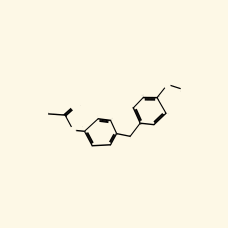 COc1ccc(Cc2ccc(OC(C)=O)cc2)cc1